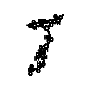 COc1cc2c(cc1OCc1cc(C#CCNC(=O)OCc3ccc(NC(=O)[C@H](C)NC(=O)C(NC(C)(C)CCOC(C)(C)CNC(=O)CCN4C(=O)C=CC4=O)C(C)C)cc3)cc(COc3cc4c(cc3OC)C(=O)N3C=C(C)CC3C=N4)c1)N=CC1CC(C)=CN1C2=O